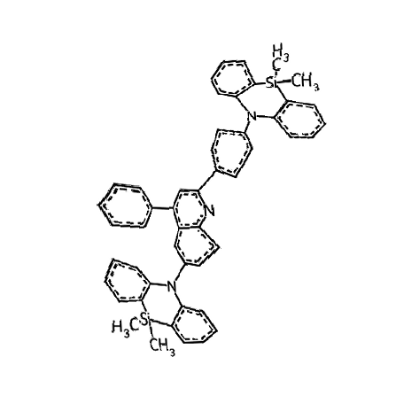 C[Si]1(C)c2ccccc2N(c2ccc(-c3cc(-c4ccccc4)c4cc(N5c6ccccc6[Si](C)(C)c6ccccc65)ccc4n3)cc2)c2ccccc21